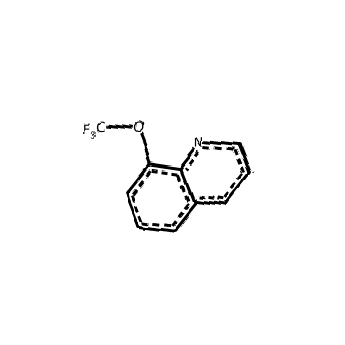 FC(F)(F)Oc1cccc2c[c]cnc12